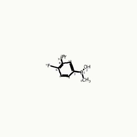 CB(O)c1ccc(F)c(C(C)C)c1